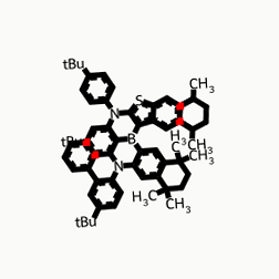 CC(C)(C)c1ccc(N2c3cc(C(C)(C)C)cc4c3B(c3cc5c(cc3N4c3ccc(C(C)(C)C)cc3-c3ccccc3)C(C)(C)CCC5(C)C)c3c2sc2cc4c(cc32)C2(C)CCC4(C)CC2)cc1